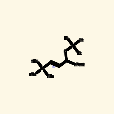 CCCCCC(/C=[CH]/[Sn]([CH2]CCC)([CH2]CCC)[CH2]CCC)O[Si](CC)(CC)CC